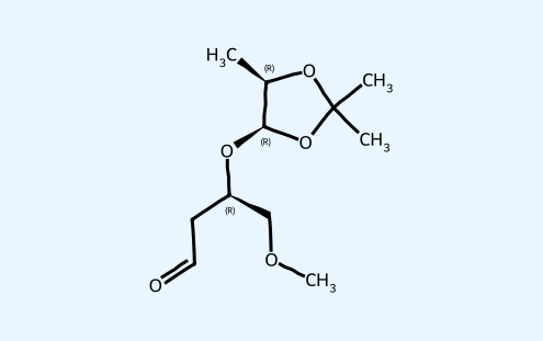 COC[C@@H](CC=O)O[C@@H]1OC(C)(C)O[C@@H]1C